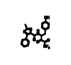 Cc1nc(-c2ccccc2)c(C(=O)NC(Cc2ccc(O)cc2)C(=O)C(N)=O)o1